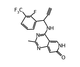 C#CC(Nc1nc(C)nc2cc(=O)[nH]cc12)c1cccc(C(F)(F)F)c1F